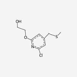 CSCc1cc(Cl)nc(OCCO)c1